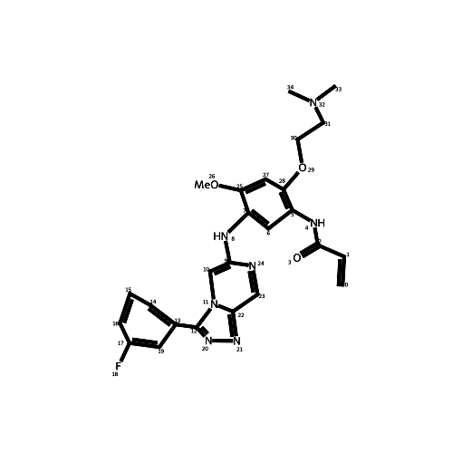 C=CC(=O)Nc1cc(Nc2cn3c(-c4cccc(F)c4)nnc3cn2)c(OC)cc1OCCN(C)C